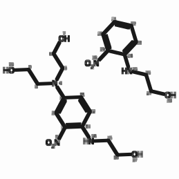 O=[N+]([O-])c1cc(N(CCO)CCO)ccc1NCCO.O=[N+]([O-])c1ccccc1NCCO